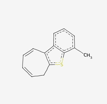 Cc1cccc2c3c(sc12)CC=CC=C3